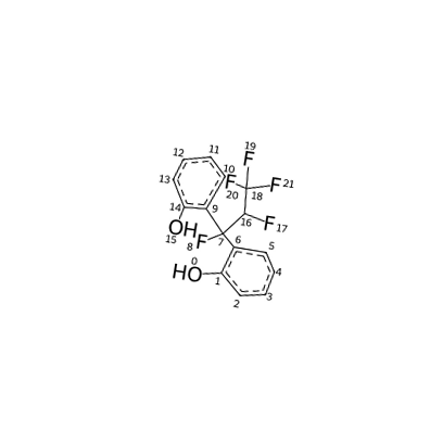 Oc1ccccc1C(F)(c1ccccc1O)C(F)C(F)(F)F